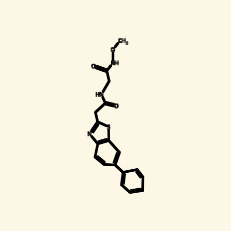 CONC(=O)CNC(=O)Cc1nc2ccc(-c3ccccc3)cc2s1